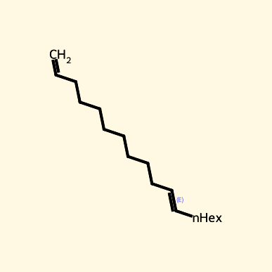 C=CCCCCCCCC/C=C/CCCCCC